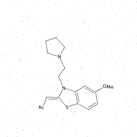 COc1ccc2c(c1)N(CCN1CCCC1)/C(=C/C(C)=O)S2